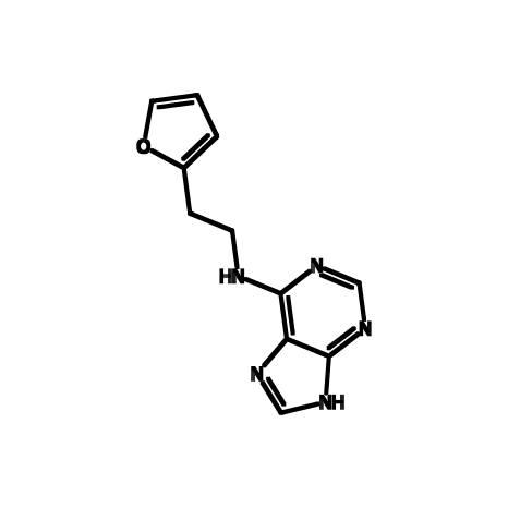 c1coc(CCNc2ncnc3[nH]cnc23)c1